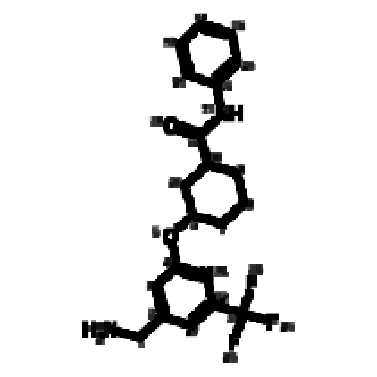 NCc1cc(O[C@@H]2CCCC(C(=O)Nc3ccccc3)C2)nc(C(F)(F)F)c1